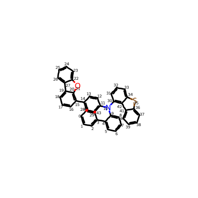 c1ccc(-c2ccccc2N(c2ccc(-c3cccc4c3oc3ccccc34)cc2)c2cccc3sc4ccccc4c23)cc1